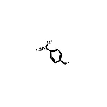 CC(C)c1ccc([SiH](O)O)cc1